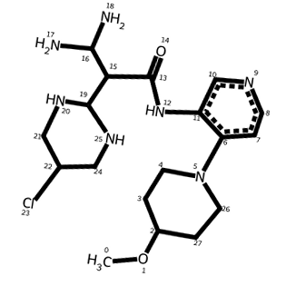 COC1CCN(c2ccncc2NC(=O)C(C(N)N)C2NCC(Cl)CN2)CC1